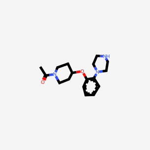 CC(=O)N1CCC(Oc2ccccc2N2CCNCC2)CC1